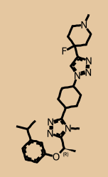 CC(C)c1cccc(O[C@H](C)c2nnc(C3CCC(n4cc(C5(F)CCN(C)CC5)nn4)CC3)n2C)c1